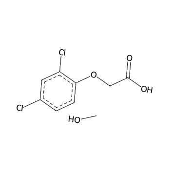 CO.O=C(O)COc1ccc(Cl)cc1Cl